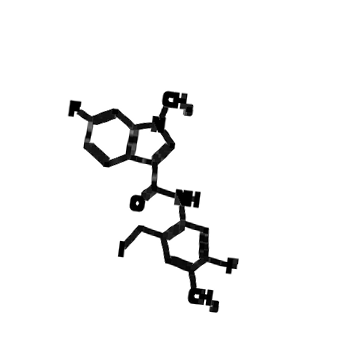 Cc1cc(CI)c(NC(=O)c2cn(C)c3cc(F)ccc23)cc1F